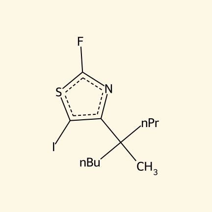 CCCCC(C)(CCC)c1nc(F)sc1I